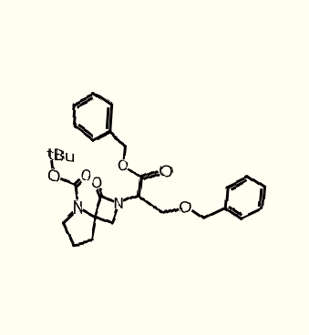 CC(C)(C)OC(=O)N1CCCC12CN(C(COCc1ccccc1)C(=O)OCc1ccccc1)C2=O